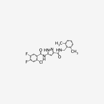 Cc1cccc(C)c1CNC(=O)c1cc(NC(=O)c2cc(F)c(F)cc2Cl)[nH]n1